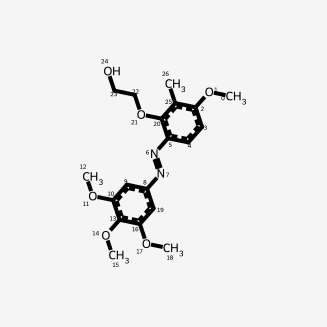 COc1ccc(/N=N/c2cc(OC)c(OC)c(OC)c2)c(OCCO)c1C